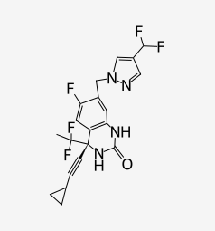 CC(F)(F)[C@@]1(C#CC2CC2)NC(=O)Nc2cc(Cn3cc(C(F)F)cn3)c(F)cc21